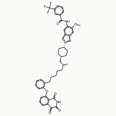 COc1cc2nn([C@H]3CC[C@H](CN(C)CCCCCc4ccccc4Oc4cccc5c4C(=O)NC(=O)C5=O)CC3)cc2cc1NC(=O)c1cccc(C(F)(F)F)n1